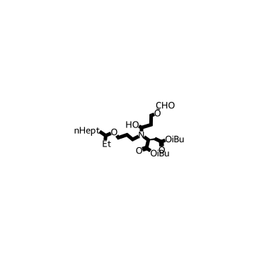 CCCCCCCC(CC)OCCCN(C(O)CCOC=O)[C@@H](CC(=O)OCC(C)C)C(=O)OCC(C)C